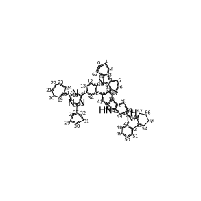 c1ccc2c3ccccc3n(-c3ccc(-c4nc(C5=CCC=CC=C5)nc(-c5ccccc5)n4)cc3-c3ccc4c(c3)[nH]c3cc(N5c6ccccc6C6CCCC[C@@H]65)ccc34)c2c#1